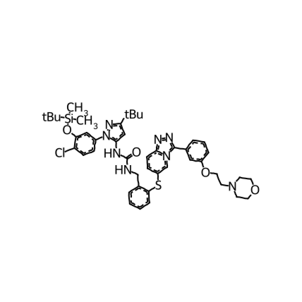 CC(C)(C)c1cc(NC(=O)NCc2ccccc2Sc2ccc3nnc(-c4cccc(OCCN5CCOCC5)c4)n3c2)n(-c2ccc(Cl)c(O[Si](C)(C)C(C)(C)C)c2)n1